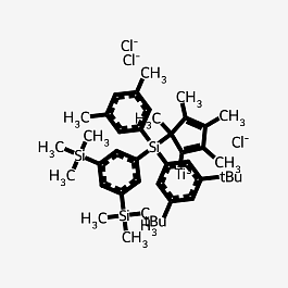 CC1=C(C)C(C)([Si](c2cc(C)cc(C)c2)(c2cc(C(C)(C)C)cc(C(C)(C)C)c2)c2cc([Si](C)(C)C)cc([Si](C)(C)C)c2)[C]([Ti+3])=C1C.[Cl-].[Cl-].[Cl-]